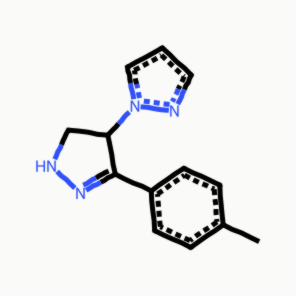 Cc1ccc(C2=NNCC2n2cccn2)cc1